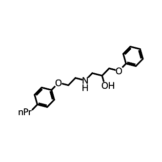 [CH2]CCc1ccc(OCCNCC(O)COc2ccccc2)cc1